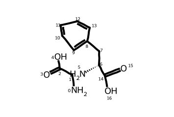 NCC(=O)O.N[C@H](Cc1ccccc1)C(=O)O